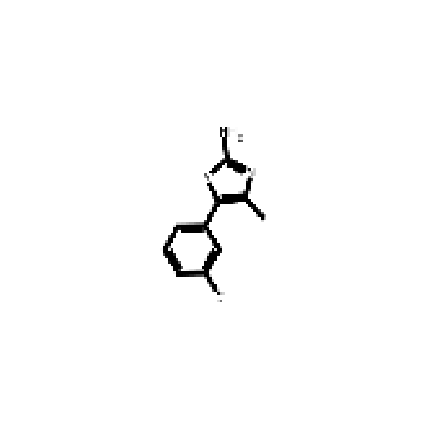 Cc1nc(N)sc1-c1cccc(Cl)c1